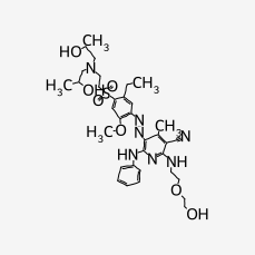 CCc1cc(/N=N/c2c(Nc3ccccc3)nc(NCCOCCO)c(C#N)c2C)c(OC)cc1S(=O)(=O)CCN(CC(C)O)CC(C)O